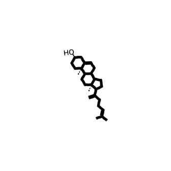 C=C(CCC=C(C)C)C1CCC2C3CC=C4C[C@@H](O)CC[C@]4(C)C3CC[C@]12C